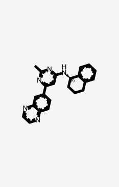 Cc1nc(N[C@@H]2CCCc3ccccc32)cc(-c2ccc3nccnc3c2)n1